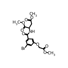 COC(=O)COc1cc(Br)cc(C(=O)NC(CC(=O)OC)C(=O)OC)c1